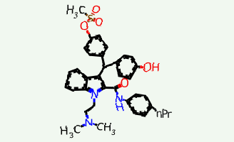 CCCc1ccc(NC(=O)c2c(C(c3ccc(O)cc3)c3ccc(OS(C)(=O)=O)cc3)c3ccccc3n2CCN(C)C)cc1